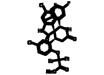 CCC(CC)(Oc1ccc(Cl)cc1[C@H]1CC(=O)N[C@@H](c2cc(F)ccc2C)[C@]12C(=O)Nc1cc(Cl)c(F)cc12)C(=O)OC